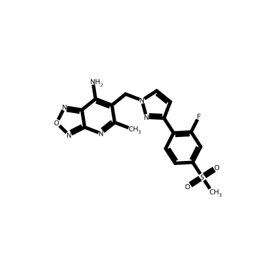 Cc1nc2nonc2c(N)c1Cn1ccc(-c2ccc(S(C)(=O)=O)cc2F)n1